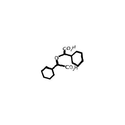 O=C(O)C(OC(C(=O)O)C1CCCCC1)C1CCCCC1